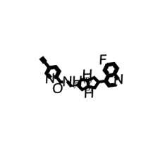 C#Cc1ccc(C(=O)NC[C@H]2C[C@H]3CC(c4ccnc5ccc(F)cc45)C[C@H]3C2)nc1